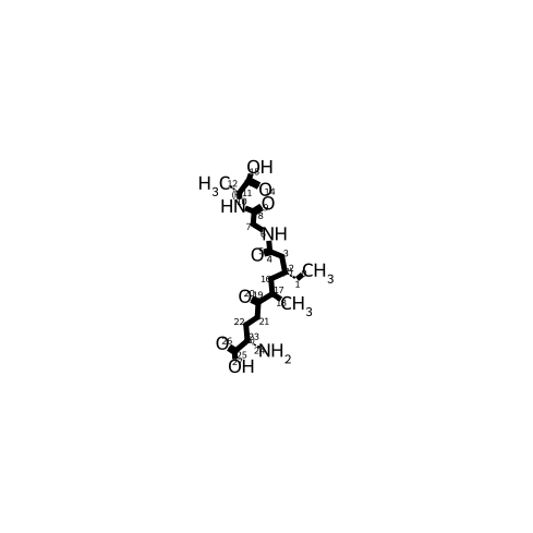 CC[C@@H](CC(=O)NCC(=O)N[C@H](C)C(=O)O)CC(C)C(=O)CC[C@H](N)C(=O)O